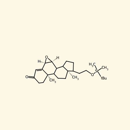 CC(C)(C)[Si](C)(C)OCCC1CCC2C3C(CC[C@]12C)[C@@]1(C)CCC(=O)C=C1[C@H]1O[C@@H]31